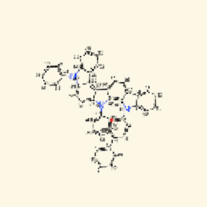 c1ccc(-c2ccc(-n3c4ccccc4c4ccc5c6c7c8ccccc8n(-c8ccccc8)c7ccc6n(-c6ccccc6)c5c43)cc2)cc1